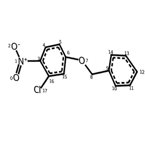 O=[N+]([O-])c1ccc(OCc2ccccc2)cc1Cl